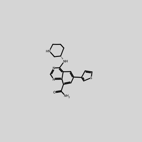 NC(=O)c1cc(-c2ccsc2)cc2c(N[C@H]3CCCNC3)ncnc12